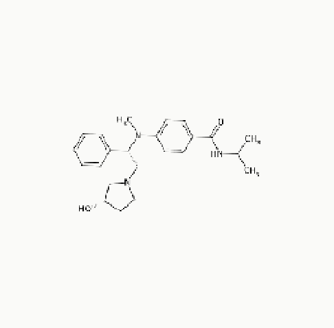 CC(C)NC(=O)c1ccc(N(C)[C@H](CN2CC[C@H](O)C2)c2ccccc2)cc1